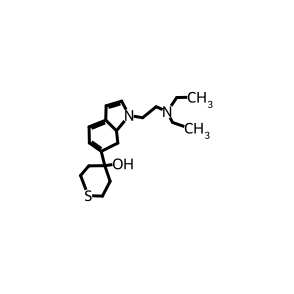 CCN(CC)CCN1C=CC2=CC=C(C3(O)CCSCC3)CC21